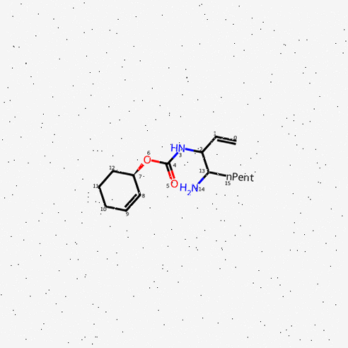 C=CC(NC(=O)O[C@H]1C=CCCC1)C(N)CCCCC